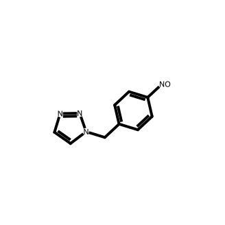 O=Nc1ccc(Cn2ccnn2)cc1